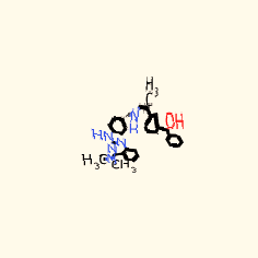 C[C@H](CNC[C@H]1CC[C@@H](Nc2nc(N(C)C)c3ccccc3n2)CC1)c1cccc(C(O)c2ccccc2)c1